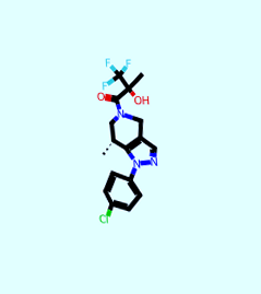 C[C@@H]1CN(C(=O)C(C)(O)C(F)(F)F)Cc2cnn(-c3ccc(Cl)cc3)c21